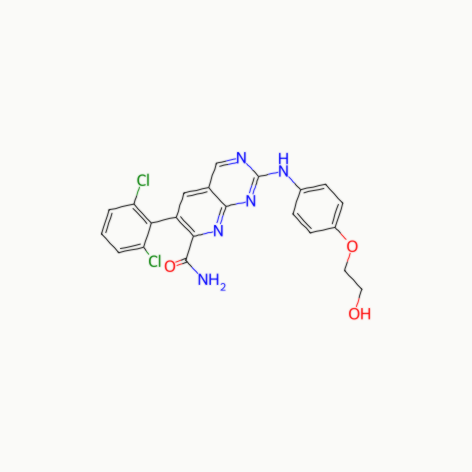 NC(=O)c1nc2nc(Nc3ccc(OCCO)cc3)ncc2cc1-c1c(Cl)cccc1Cl